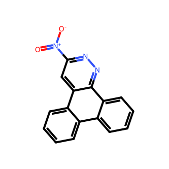 O=[N+]([O-])c1cc2c3ccccc3c3ccccc3c2nn1